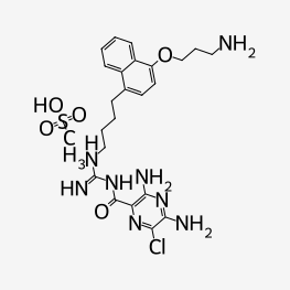 CS(=O)(=O)O.N=C(NCCCCc1ccc(OCCCN)c2ccccc12)NC(=O)c1nc(Cl)c(N)nc1N